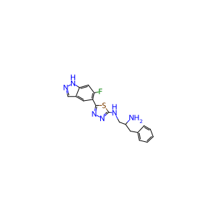 NC(CNc1nnc(-c2cc3cn[nH]c3cc2F)s1)Cc1ccccc1